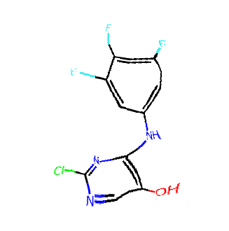 Oc1cnc(Cl)nc1Nc1cc(F)c(F)c(F)c1